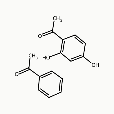 CC(=O)c1ccc(O)cc1O.CC(=O)c1ccccc1